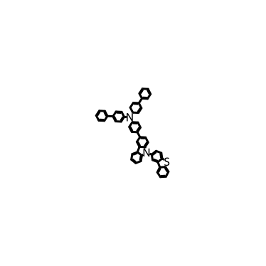 C1=CC(N(c2ccc(-c3ccccc3)cc2)c2ccc(-c3ccc4c(c3)c3ccccc3n4-c3ccc4sc5ccccc5c4c3)cc2)CC=C1c1ccccc1